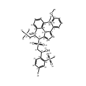 COc1cccc(-c2nnc(N(CC[Si](C)(C)C)S(=O)(=O)C[C@@H](O)c3ccc(F)cc3S(C)(=O)=O)n2-c2c(OC)cccc2OC)n1